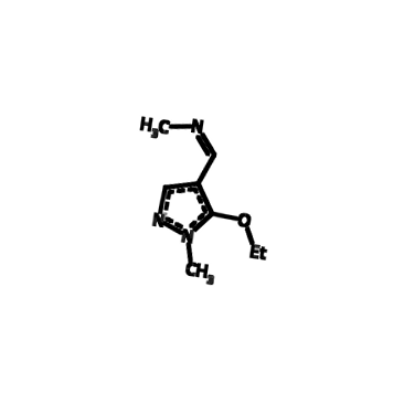 CCOc1c(/C=N\C)cnn1C